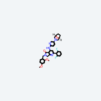 COc1ccc(CN2Cc3nc(-c4c(F)cccc4F)cc(Nc4ccc(N5C[C@H]6CC[C@@H](C5)O6)cn4)c3C2=O)c(OC)c1